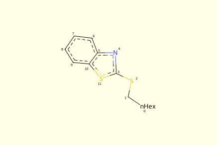 CCCCCCCSc1nc2ccccc2s1